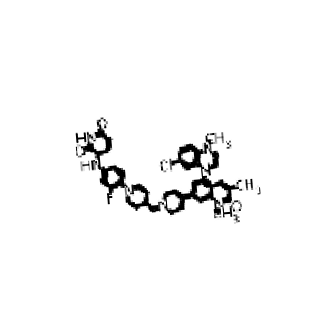 Cc1cc2c(N3CCN(C)c4ccc(Cl)cc43)cc(C3CCN(CC4CCN(c5ccc(NC6CCC(=O)NC6=O)cc5F)CC4)CC3)cc2n(C)c1=O